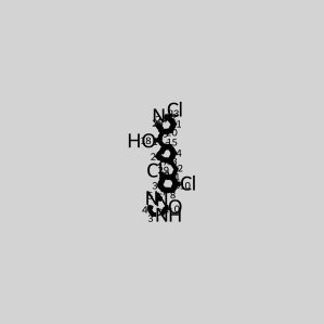 O=C1NCC=NN1c1cc(Cl)c(Cc2ccc(C(O)c3ccc(Cl)nc3)cc2)c(Cl)c1